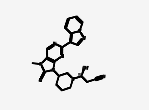 Cn1c(=O)n(C2CCCN([C@@H](O)CC#N)C2)c2nc(-c3cnn4ccccc34)ncc21